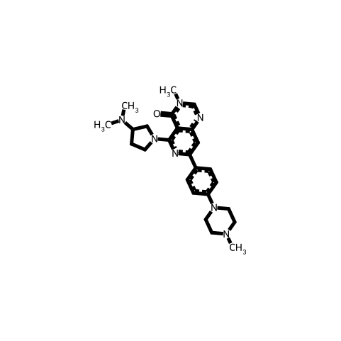 CN1CCN(c2ccc(-c3cc4ncn(C)c(=O)c4c(N4CCC(N(C)C)C4)n3)cc2)CC1